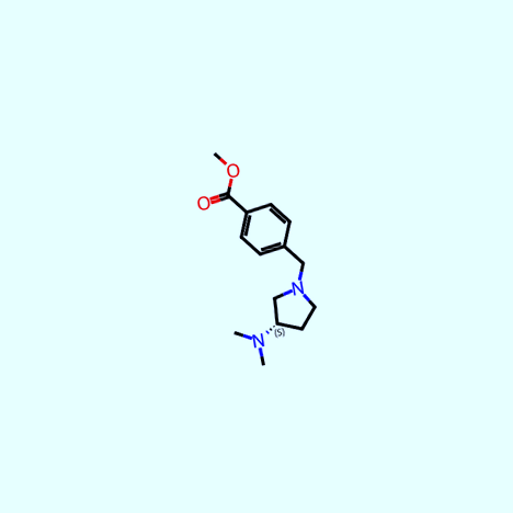 COC(=O)c1ccc(CN2CC[C@H](N(C)C)C2)cc1